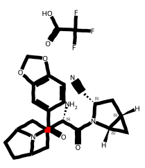 N#C[C@@H]1C[C@@H]2C[C@@H]2N1C(=O)[C@@H](N)C1CC2CCC(C1)N2C(=O)c1ccc2c(c1)OCO2.O=C(O)C(F)(F)F